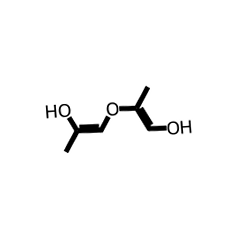 CC(O)=COC(C)=CO